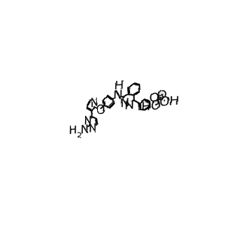 Nc1nccc(-c2cccnc2Oc2ccc(Nc3nnc(-c4cccc(OP(=O)(O)O)c4)c4ccccc34)cc2)n1